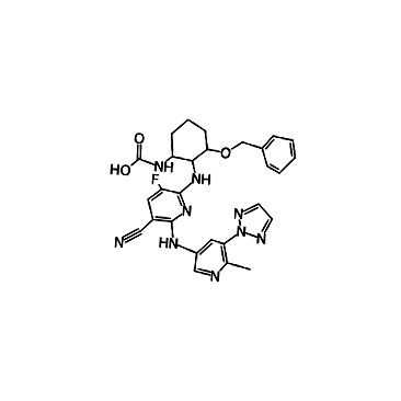 Cc1ncc(Nc2nc(NC3C(NC(=O)O)CCCC3OCc3ccccc3)c(F)cc2C#N)cc1-n1nccn1